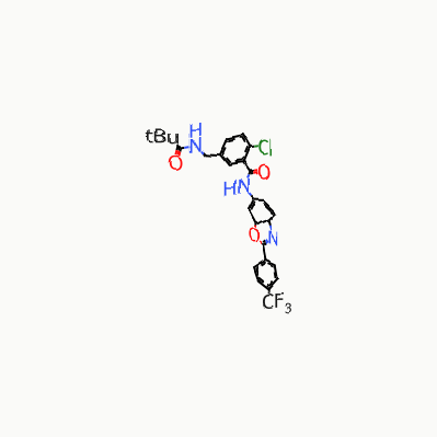 CC(C)(C)C(=O)NCc1ccc(Cl)c(C(=O)NC2=CC3OC(c4ccc(C(F)(F)F)cc4)=NC3C=C2)c1